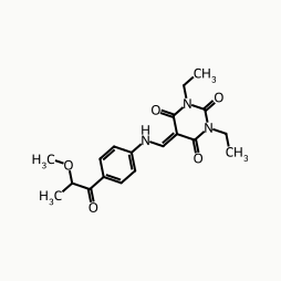 CCN1C(=O)C(=CNc2ccc(C(=O)C(C)OC)cc2)C(=O)N(CC)C1=O